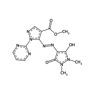 COC(=O)c1cnn(-c2ncccn2)c1N=Nc1c(O)n(C)n(C)c1=O